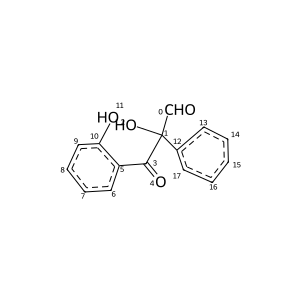 O=CC(O)(C(=O)c1ccccc1O)c1ccccc1